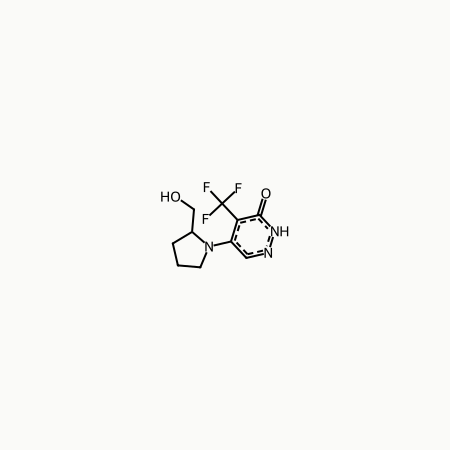 O=c1[nH]ncc(N2CCCC2CO)c1C(F)(F)F